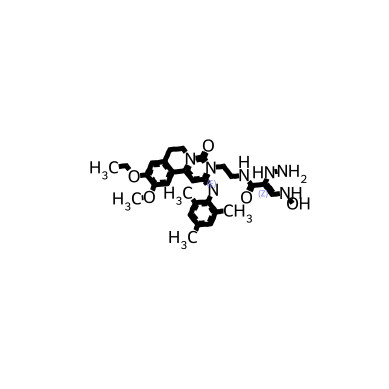 CCOc1cc2c(cc1OC)-c1c/c(=N\c3c(C)cc(C)cc3C)n(CCNC(=O)/C(=C/NO)NN)c(=O)n1CC2